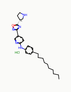 CCCCCCCCCCc1ccc(Nc2ccc(-c3noc([C@@H]4CCNC4)n3)cn2)cc1.Cl